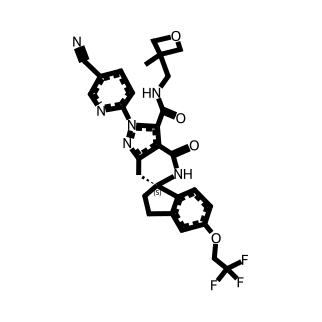 CC1(CNC(=O)c2c3c(nn2-c2ccc(C#N)cn2)C[C@]2(CCc4cc(OCC(F)(F)F)ccc42)NC3=O)COC1